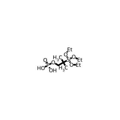 CCO[Si](OCC)(OCC)C(C)(C)COP(=O)(O)O